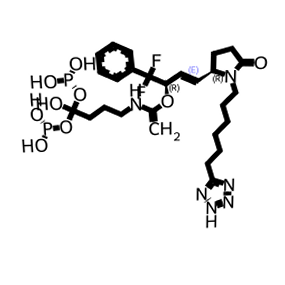 C=C(NCCCC(O)(OP(O)O)OP(O)O)O[C@H](/C=C/[C@H]1CCC(=O)N1CCCCCCc1nn[nH]n1)C(F)(F)c1ccccc1